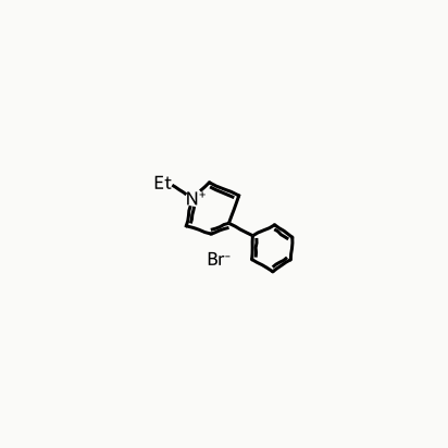 CC[n+]1ccc(-c2ccccc2)cc1.[Br-]